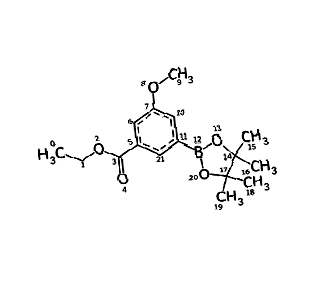 CCOC(=O)c1cc(OC)cc(B2OC(C)(C)C(C)(C)O2)c1